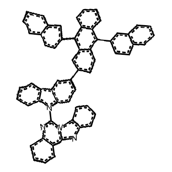 c1ccc2cc(-c3c4ccccc4c(-c4ccc5ccccc5c4)c4cc(-c5ccc6c(c5)c5ccccc5n6-c5nc6ccccc6c6nc7ccccc7n56)ccc34)ccc2c1